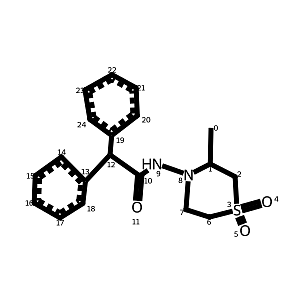 CC1CS(=O)(=O)CCN1NC(=O)C(c1ccccc1)c1ccccc1